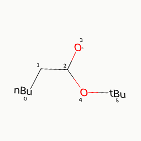 CCCCCC([O])OC(C)(C)C